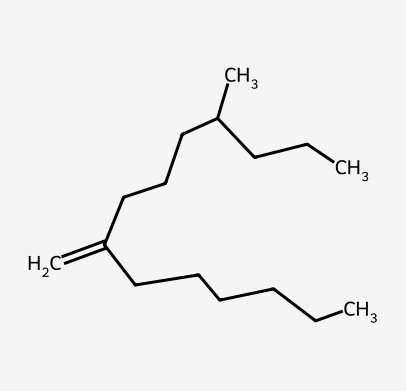 C=C(CCCCCC)CCCC(C)CCC